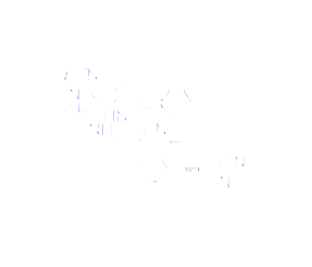 CC(NC(=O)c1c(N)nn2cccnc12)c1cc2cccc(C#Cc3cnc4n3CCC4)c2c(=O)n1-c1ccccc1